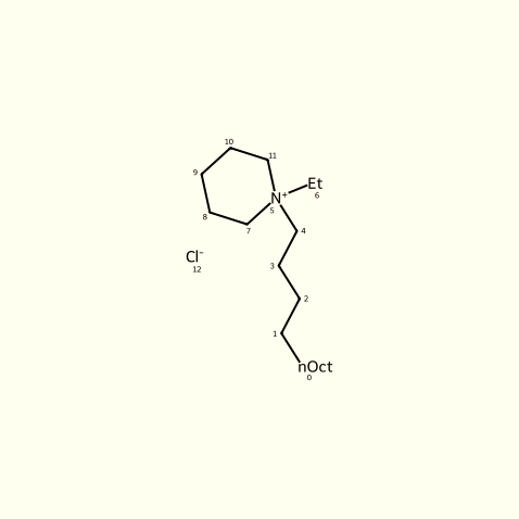 CCCCCCCCCCCC[N+]1(CC)CCCCC1.[Cl-]